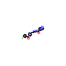 O=C(NCCCCC1CCN(C(=O)c2cccc(F)c2)CC1)c1ccc2nccn2c1